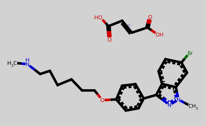 CNCCCCCCOc1ccc(-c2nn(C)c3cc(Br)ccc23)cc1.O=C(O)/C=C/C(=O)O